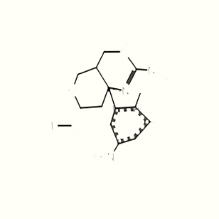 NC1=NC2(c3cc([N+](=O)[O-])ccc3F)C[C@H](CF)OCC2CS1